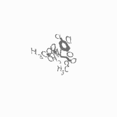 CCOC(=O)C1CN(C(=O)OC(C)(C)C)c2cc(Cl)c(Cl)cc2O1